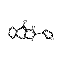 Clc1c2ncccc2cc2nc(-c3ccoc3)[nH]c12